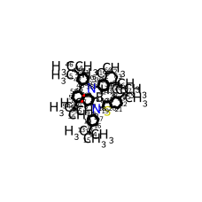 Cc1cc2c3c(c1)N(c1ccc(C(C)(C)C)cc1)c1sc4ccc(C(C)(C)C)cc4c1B3c1cc3c(cc1N2c1ccc(C(C)(C)C)cc1-c1ccc(C(C)(C)C)cc1)C(C)(C)CCC3(C)C